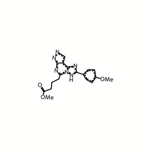 COC(=O)CCCc1nc2nncc-2c2nc(-c3ccc(OC)cc3)[nH]n12